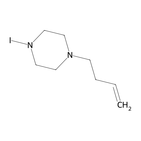 C=CCCN1CCN(I)CC1